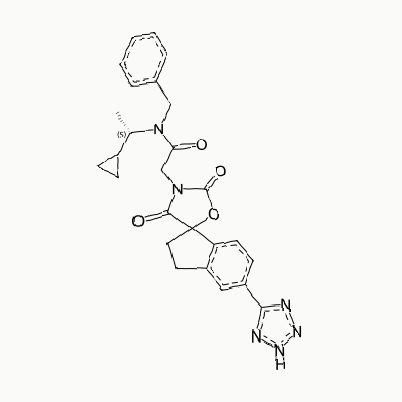 C[C@@H](C1CC1)N(Cc1ccccc1)C(=O)CN1C(=O)OC2(CCc3cc(-c4nn[nH]n4)ccc32)C1=O